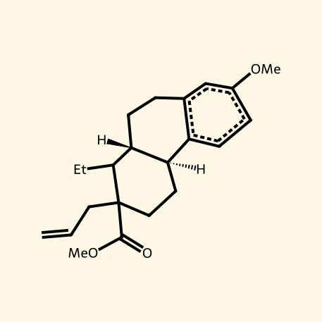 C=CCC1(C(=O)OC)CC[C@@H]2c3ccc(OC)cc3CC[C@H]2C1CC